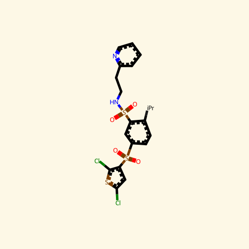 CC(C)c1ccc(S(=O)(=O)c2cc(Cl)sc2Cl)cc1S(=O)(=O)NCCc1ccccn1